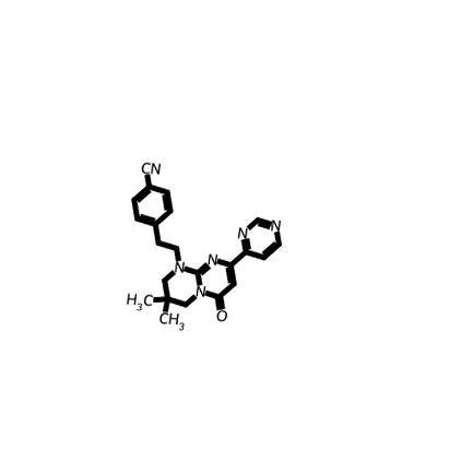 CC1(C)CN(CCc2ccc(C#N)cc2)c2nc(-c3ccncn3)cc(=O)n2C1